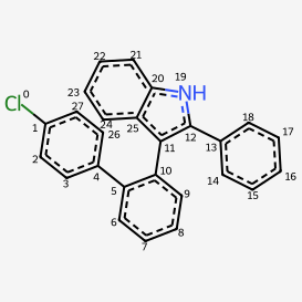 Clc1ccc(-c2ccccc2-c2c(-c3ccccc3)[nH]c3ccccc23)cc1